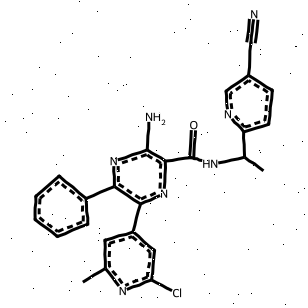 Cc1cc(-c2nc(C(=O)NC(C)c3ccc(C#N)cn3)c(N)nc2-c2ccccc2)cc(Cl)n1